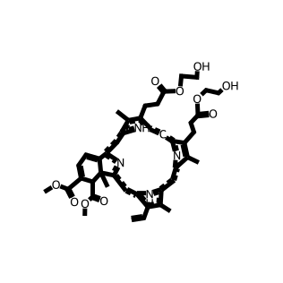 C=Cc1c(C)c2cc3nc(cc4[nH]c(cc5nc(cc1[nH]2)C1(C)C5=CC=C(C(=O)OC)C1C(=O)OC)c(C)c4CCC(=O)OCCO)C(CCC(=O)OCCO)=C3C